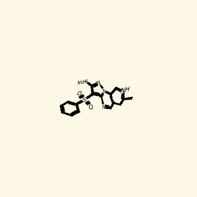 CNc1nn2c3c(cnc2c1S(=O)(=O)c1ccccc1)CC(C)NC3